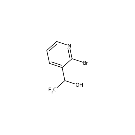 OC(c1cccnc1Br)C(F)(F)F